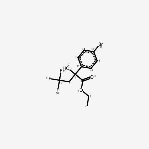 CCOC(=O)C(O)(CC(F)(F)F)c1ccc(Br)cc1